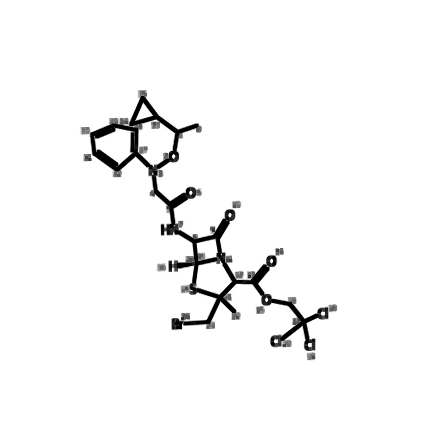 CC(ON(CC(=O)NC1C(=O)N2C(C(=O)OCC(Cl)(Cl)Cl)C(C)(CBr)S[C@H]12)c1ccccc1)C1CC1